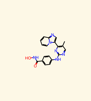 Cc1cnc(Nc2ccc(C(=O)NO)cc2)nc1-c1cnc2ccccn12